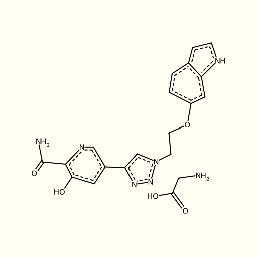 NC(=O)c1ncc(-c2cn(CCOc3ccc4cc[nH]c4c3)nn2)cc1O.NCC(=O)O